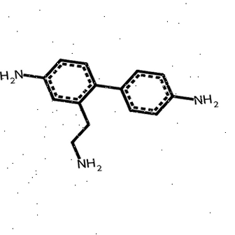 NCCc1cc(N)ccc1-c1ccc(N)cc1